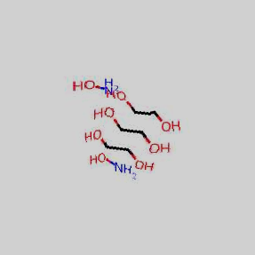 NO.NO.OCCO.OCCO.OCCO